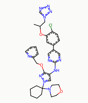 CC(Cn1cnnn1)Oc1cc(-c2cnc(Nc3cn(C4(N5CCOCC5)CCCCC4)nc3OCc3ccccn3)nc2)ccc1Cl